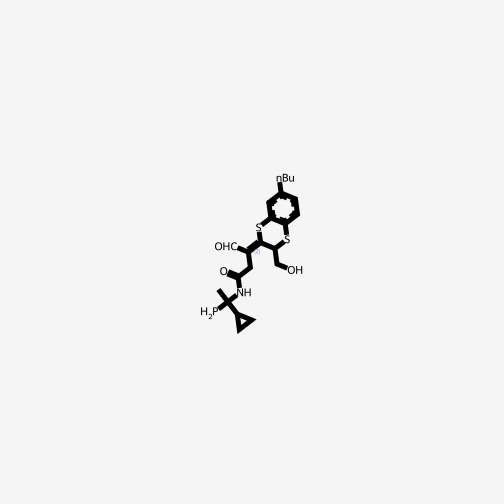 CCCCc1ccc2c(c1)S/C(=C(\C=O)CC(=O)NC(C)(P)C1CC1)C(CO)S2